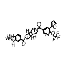 C[C@]12CN(C(=O)c3cnc(OCC(F)(F)F)c(-c4ccco4)c3)C[C@H]1[C@@H]1CN(C(=O)c3ccc4c(c3)NNN4)C[C@@H]12